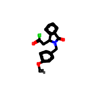 COc1ccc(CN2C(=O)c3ccccc3C2CC(=O)Cl)cc1